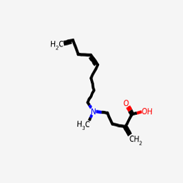 C=CC/C=C\CCCN(C)CCC(=C)C(=O)O